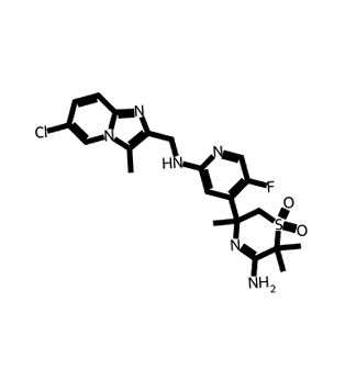 Cc1c(CNc2cc(C3(C)CS(=O)(=O)C(C)(C)C(N)=N3)c(F)cn2)nc2ccc(Cl)cn12